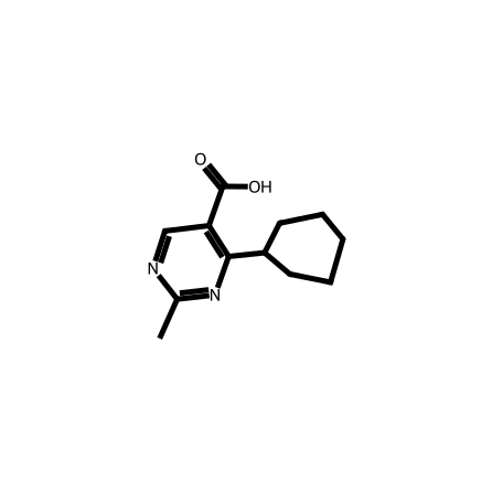 Cc1ncc(C(=O)O)c(C2CCCCC2)n1